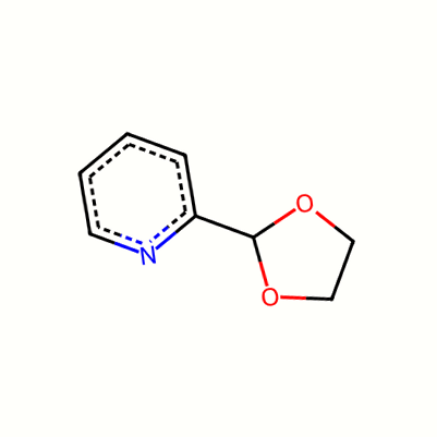 c1ccc(C2OCCO2)nc1